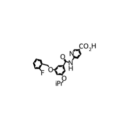 CC(C)Oc1cc(OCc2ccccc2F)cc(C(=O)Nc2ccc(C(=O)O)cn2)c1